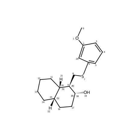 COc1cccc(SC[C@@H]2[C@H]3CCCC[C@H]3CC[C@H]2O)c1